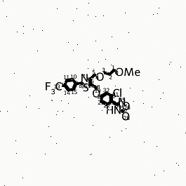 COCCCOCc1nc(-c2ccc(C(F)(F)F)cc2)sc1COc1ccc(-c2noc(=O)[nH]2)c(Cl)c1